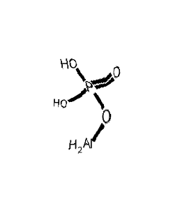 O=P(O)(O)[O][AlH2]